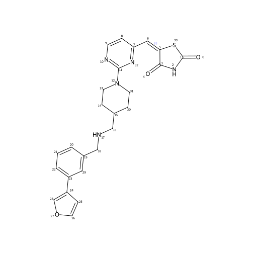 O=C1NC(=O)/C(=C\c2ccnc(N3CCC(CNCc4cccc(-c5ccoc5)c4)CC3)n2)S1